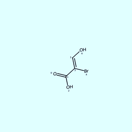 O=C(O)/C(Br)=C/O